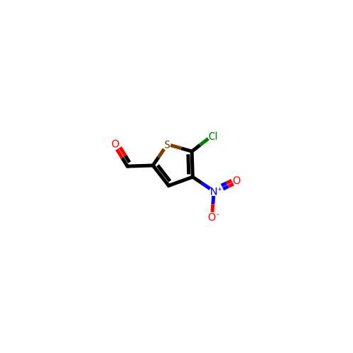 O=Cc1cc([N+](=O)[O-])c(Cl)s1